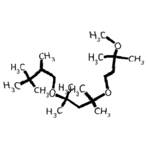 COC(C)(C)CCOC(C)(C)CC(C)(C)OCC(C)C(C)(C)C